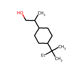 CCC(C)(C)C1CCC(C(C)CO)CC1